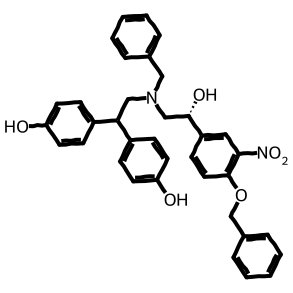 O=[N+]([O-])c1cc([C@@H](O)CN(Cc2ccccc2)CC(c2ccc(O)cc2)c2ccc(O)cc2)ccc1OCc1ccccc1